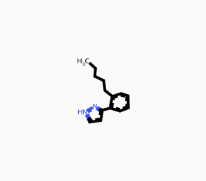 CCCCCc1ccccc1-c1cc[nH]n1